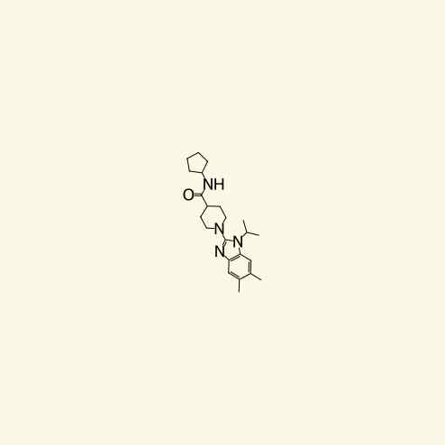 Cc1cc2nc(N3CCC(C(=O)NC4CCCC4)CC3)n(C(C)C)c2cc1C